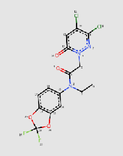 CCN(C(=O)Cn1nc(Cl)c(Cl)cc1=O)c1ccc2c(c1)OC(F)(F)O2